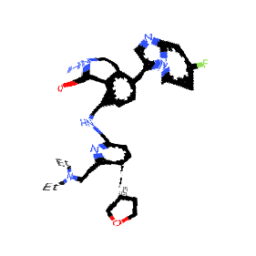 CCN(CC)Cc1nc(Nc2ccc(-c3cnc4cc(F)ccn34)c3c2C(=O)NC3)ccc1[C@@H]1CCOC1